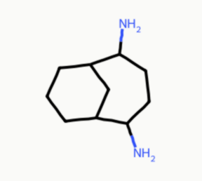 NC1CCC(N)C2CCCC1C2